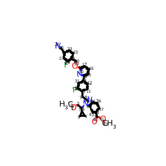 COCC(C1CC1)n1c(Cc2ccc(-c3cccc(OCc4ccc(C#N)cc4F)n3)cc2F)nc2ccc(C(=O)OC)cc21